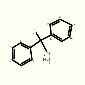 Cl.ClC(Cl)(c1ccccc1)c1ccccc1